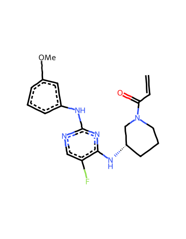 C=CC(=O)N1CCC[C@H](Nc2nc(Nc3cccc(OC)c3)ncc2F)C1